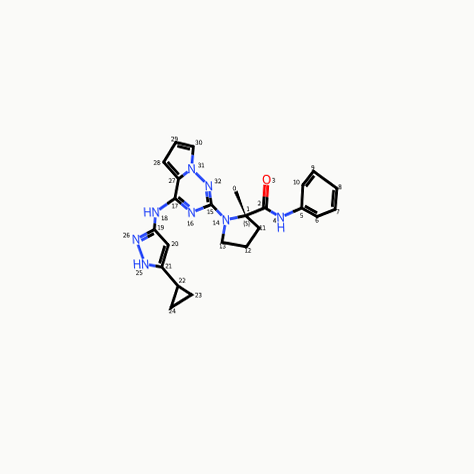 C[C@@]1(C(=O)Nc2ccccc2)CCCN1c1nc(Nc2cc(C3CC3)[nH]n2)c2cccn2n1